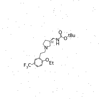 CCOc1ccc(C(F)(F)F)cc1CCN1CC[C@@H](CNC(=O)OC(C)(C)C)C1